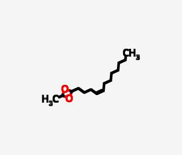 CCCCCCC/C=C\CCCC1OC(C)O1